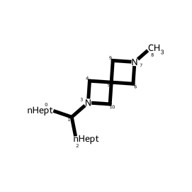 CCCCCCCC(CCCCCCC)N1CC2(CN(C)C2)C1